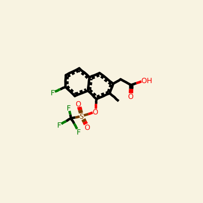 Cc1c(CC(=O)O)cc2ccc(F)cc2c1OS(=O)(=O)C(F)(F)F